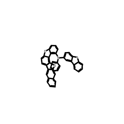 c1ccc(N(c2ccc3sc4ccccc4c3c2)c2cccc3oc4ccc5c6cc7ccccc7cc6sc5c4c23)cc1